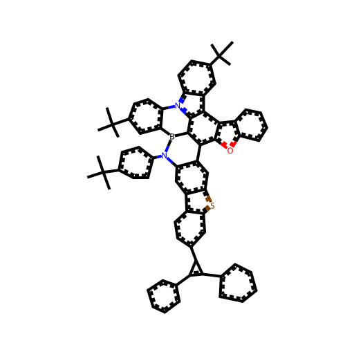 CC(C)(C)c1ccc(N2B3c4cc(C(C)(C)C)ccc4-n4c5ccc(C(C)(C)C)cc5c5c6c(oc7ccccc76)c(c3c54)-c3cc4sc5cc(C6C(c7ccccc7)=C6c6ccccc6)ccc5c4cc32)cc1